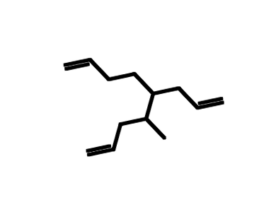 C=CCCC(CC=C)C(C)CC=C